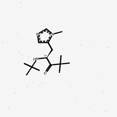 Cn1cncc1C[C@H](NC(C)(C)C)C(=O)C(C)(C)C